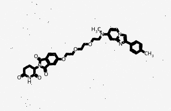 Cc1ccc(-c2cn3ccc(N(C)CCOCCOCCOc4ccc5c(c4)C(=O)N(C4CCC(=O)NC4=O)C5=O)cc3n2)cc1